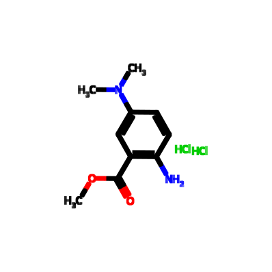 COC(=O)c1cc(N(C)C)ccc1N.Cl.Cl